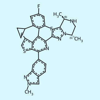 C[C@H]1NC[C@H](C)n2nc(-c3nc(-c4ccc5cn(C)nc5c4)c4scc(F)c4c3-c3c(F)cc(F)cc3C3CC3)cc21